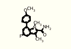 COc1ccc(-c2cc(F)cc3c(C)c(C(N)=O)n(C)c23)cc1